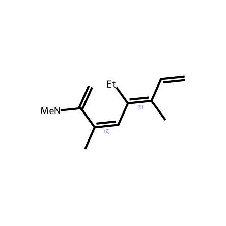 C=C/C(C)=C(/C=C(/C)C(=C)NC)CC